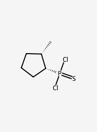 C[C@H]1CCC[C@H]1P(=S)(Cl)Cl